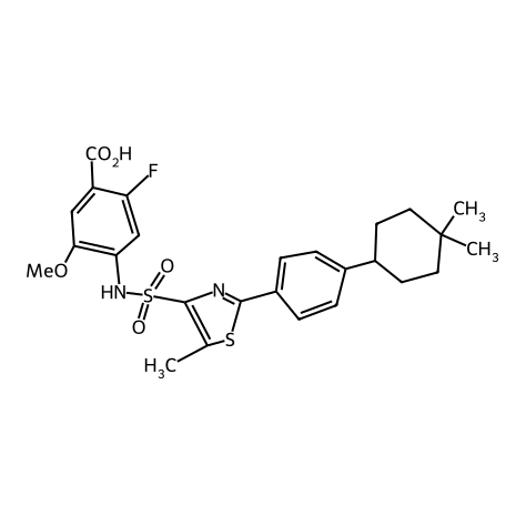 COc1cc(C(=O)O)c(F)cc1NS(=O)(=O)c1nc(-c2ccc(C3CCC(C)(C)CC3)cc2)sc1C